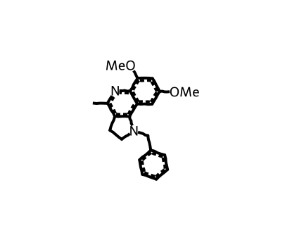 COc1cc(OC)c2nc(C)c3c(c2c1)N(Cc1ccccc1)CC3